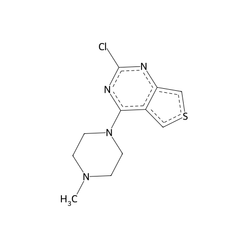 CN1CCN(c2nc(Cl)nc3cscc23)CC1